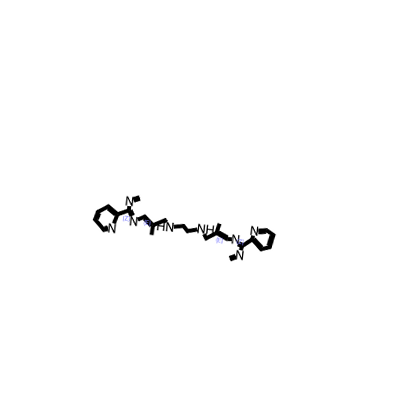 C=N/C(=N\C=C(/C)CNCCNC/C(C)=C/N=C(\N=C)c1ccccn1)c1ccccn1